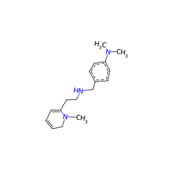 CN1CC=CC=C1CCNCc1ccc(N(C)C)cc1